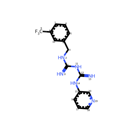 N=C(NCc1cccc(C(F)(F)F)c1)NC(=N)Nc1cccnc1